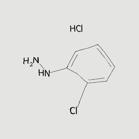 Cl.NNc1ccccc1Cl